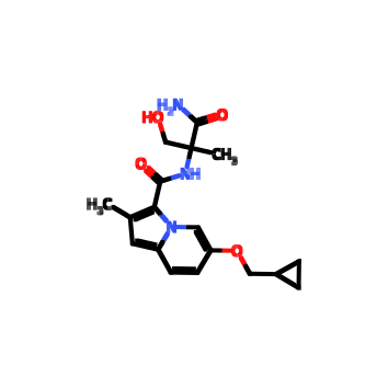 Cc1cc2ccc(OCC3CC3)cn2c1C(=O)NC(C)(CO)C(N)=O